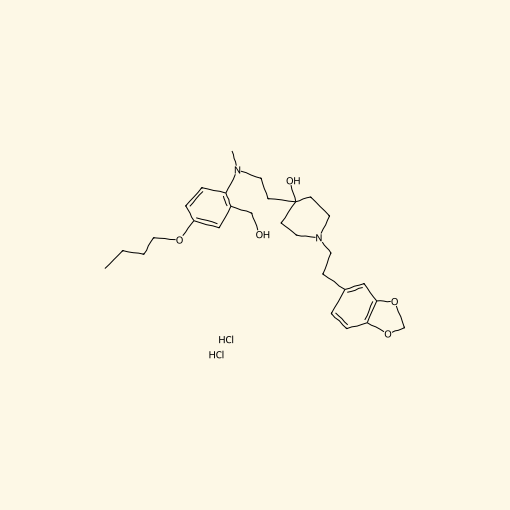 CCCCOc1ccc(N(C)CCC2(O)CCN(CCc3ccc4c(c3)OCO4)CC2)c(CO)c1.Cl.Cl